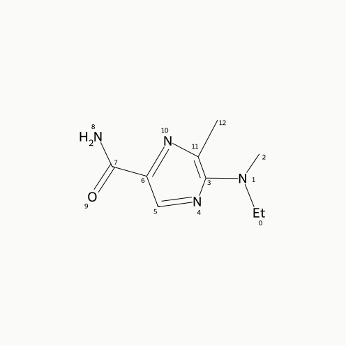 CCN(C)c1ncc(C(N)=O)nc1C